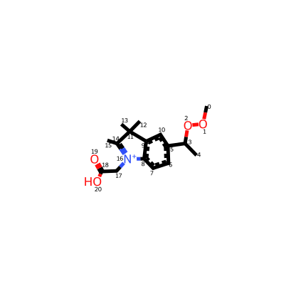 COOC(C)c1ccc2c(c1)C(C)(C)C(C)=[N+]2CC(=O)O